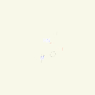 CC(NC(=O)CCC[C@]12CCN(CC3CC3)[C@H](Cc3ccc(O)cc31)[C@@H]2C)C(=O)O